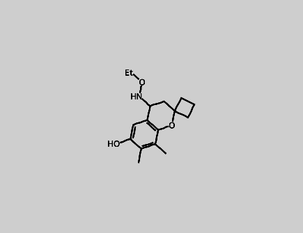 CCONC1CC2(CCC2)Oc2c1cc(O)c(C)c2C